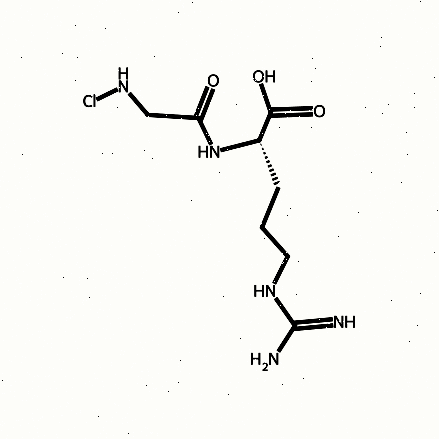 N=C(N)NCCC[C@H](NC(=O)CNCl)C(=O)O